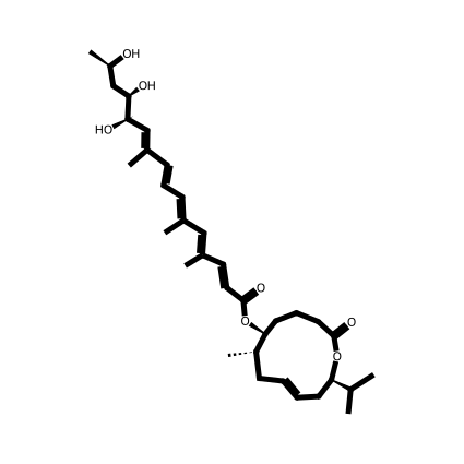 CC(=C\C=C\C(C)=C\[C@@H](O)[C@H](O)C[C@@H](C)O)/C=C(C)/C=C/C(=O)O[C@H]1CCCC(=O)O[C@@H](C(C)C)C/C=C/C[C@@H]1C